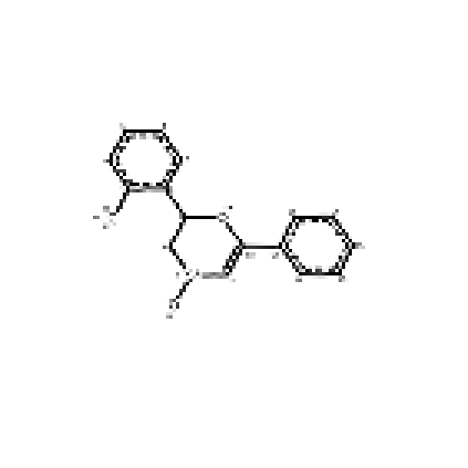 Cc1ccccc1C1C[S+]([O-])C=C(c2ccccc2)O1